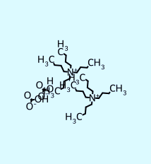 CCCC[N+](CCCC)(CCCC)CCCC.CCCC[N+](CCCC)(CCCC)CCCC.O=C([O-])O.O=C([O-])O